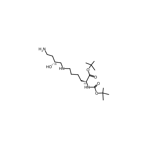 CC(C)(C)OC(=O)N[C@@H](CCCCNC[C@H](O)CCN)C(=O)OC(C)(C)C